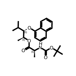 CC(C)[C@H](Oc1cccc2ccccc12)[C@H](C)OC(=O)[C@H](C)NC(=O)OC(C)(C)C